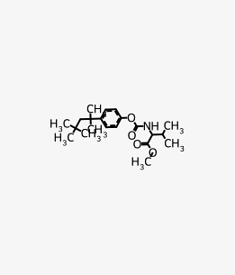 COC(=O)C(NC(=O)Oc1ccc(C(C)(C)CC(C)(C)C)cc1)C(C)C